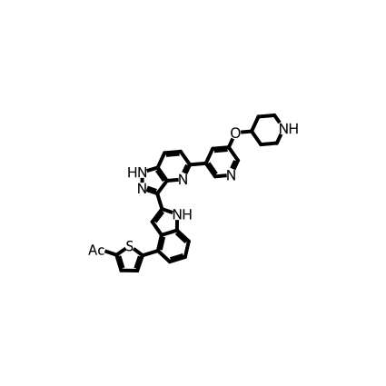 CC(=O)c1ccc(-c2cccc3[nH]c(-c4n[nH]c5ccc(-c6cncc(OC7CCNCC7)c6)nc45)cc23)s1